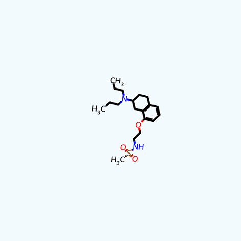 CCCN(CCC)C1CCc2cccc(OCCNS(C)(=O)=O)c2C1